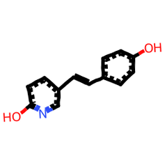 Oc1ccc(C=Cc2ccc(O)nc2)cc1